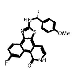 COc1ccc([C@@H](C)Nc2nc3c4ccc(F)cc4c4c(=O)[nH]ccc4c3s2)cc1